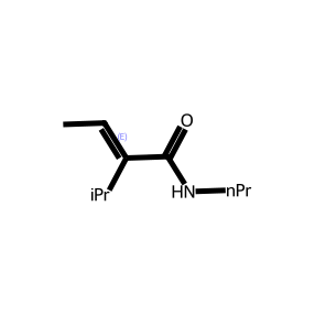 C/C=C(/C(=O)NCCC)C(C)C